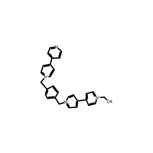 N#CC[n+]1ccc(-c2cc[n+](Cc3ccc(C[n+]4ccc(-c5ccncc5)cc4)cc3)cc2)cc1